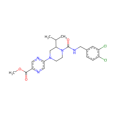 COC(=O)c1cnc(N2CCN(C(=O)NCc3ccc(Cl)c(Cl)c3)C(C(C)C)C2)cn1